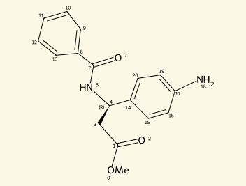 COC(=O)C[C@@H](NC(=O)c1ccccc1)c1ccc(N)cc1